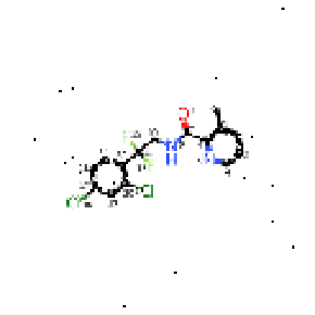 Cc1cccnc1C(=O)NCC(F)(F)c1ccc(Cl)cc1Cl